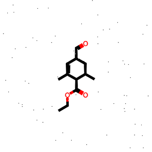 CCOC(=O)C1C(C)=CC(C=O)CC1C